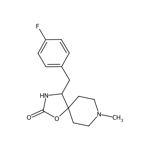 CN1CCC2(CC1)OC(=O)NC2Cc1ccc(F)cc1